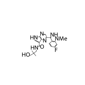 CNc1cc(F)ccc1C(=N)c1cnc2[nH]cc(C(=O)NCC(C)(C)CO)c2n1